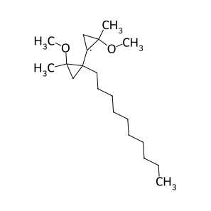 CCCCCCCCCCC1([C]2CC2(C)OC)CC1(C)OC